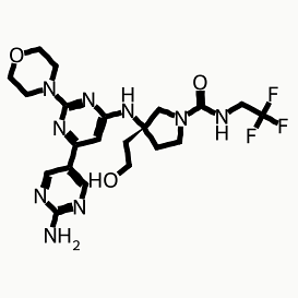 Nc1ncc(-c2cc(N[C@@]3(CCO)CCN(C(=O)NCC(F)(F)F)C3)nc(N3CCOCC3)n2)cn1